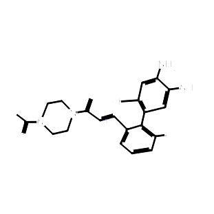 CC(=O)N1CCN(C(=O)/C=C/c2cc[c]c(Cl)c2-c2cc(N)c(N)cc2Cl)CC1